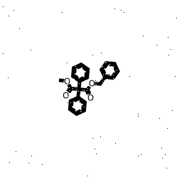 COC(=O)C(C(=O)OCc1ccccc1)(c1ccccc1)c1ccccc1